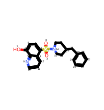 O=S(=O)(c1ccc(O)c2ncccc12)N1CCC(Cc2ccccc2)CC1